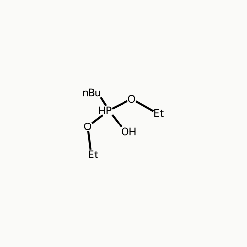 CCCC[PH](O)(OCC)OCC